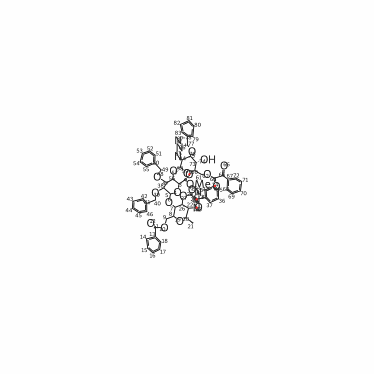 COC(=O)C1OC(OC2C(COC(=O)c3ccccc3)O[C@H](C)C(N=[N+]=[N-])C2OC(=O)C(=O)c2ccccc2)C(OCc2ccccc2)C(OCc2ccccc2)C1O[C@@H]1OC(COC(=O)C(=O)c2ccccc2)[C@@H](O)C(OCc2ccccc2)C1N=[N+]=[N-]